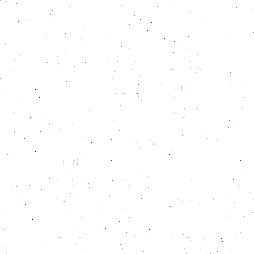 Cc1cnc(CCN)cn1